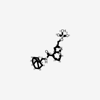 CS(=O)(=O)OCc1cc2c(C(=O)NCC34CC5CC(CC(C5)C3)C4)cccn2n1